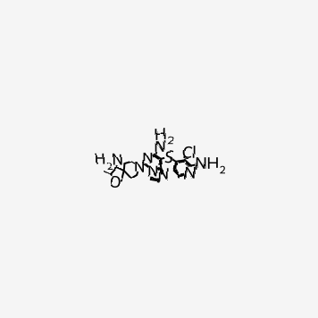 C[C@@H]1OCC2(CCN(c3nc(N)c(Sc4ccnc(N)c4Cl)c4nccn34)CC2)[C@@H]1N